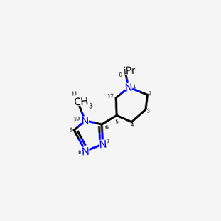 CC(C)N1CCCC(c2nncn2C)C1